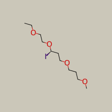 CCOCCO[C@H](I)CCOCCCOC